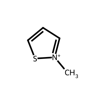 C[n+]1cccs1